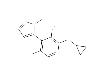 Cn1nccc1-c1c(F)cnc(OC2CC2)c1C#N